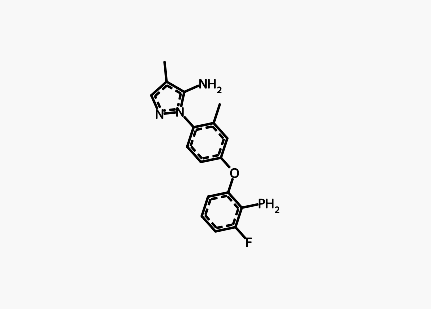 Cc1cc(Oc2cccc(F)c2P)ccc1-n1ncc(C)c1N